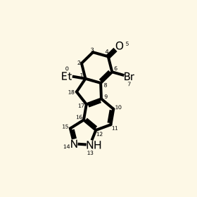 CCC12CCC(=O)C(Br)=C1c1ccc3[nH]ncc3c1C2